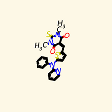 CN1C(=O)C(=Cc2ccc(N(c3ccccc3)c3ccccn3)s2)C(=O)N(C)C1=S